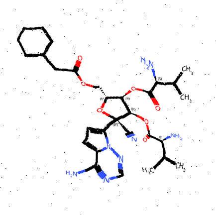 CC(C)[C@H](N)C(=O)O[C@H]1[C@@H](OC(=O)[C@@H](N)C(C)C)[C@](C#N)(c2ccc3c(N)ncnn23)O[C@@H]1COC(=O)CC1CCCCC1